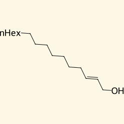 CCCCCCCCCCCCCC=CCO